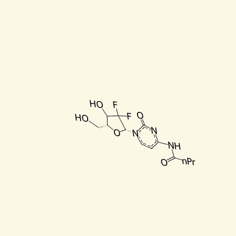 CCCC(=O)Nc1ccn([C@@H]2O[C@H](CO)C(O)C2(F)F)c(=O)n1